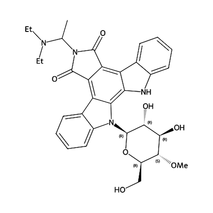 CCN(CC)C(C)N1C(=O)c2c(c3c4ccccc4n([C@@H]4O[C@H](CO)[C@@H](OC)[C@H](O)[C@H]4O)c3c3[nH]c4ccccc4c23)C1=O